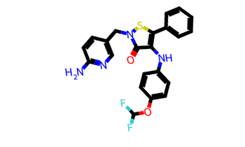 Nc1ccc(Cn2sc(-c3ccccc3)c(Nc3ccc(OC(F)F)cc3)c2=O)cn1